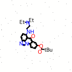 CCN(CC)CCNc1ccc2ncn3c4ccc(OC(=O)C(C)(C)C)cc4c(=O)c1c23